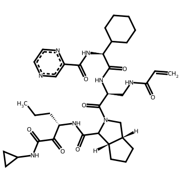 C=CC(=O)NC[C@H](NC(=O)[C@@H](NC(=O)c1cnccn1)C1CCCCC1)C(=O)N1C[C@@H]2CCC[C@@H]2C1C(=O)N[C@@H](CCC)C(=O)C(=O)NC1CC1